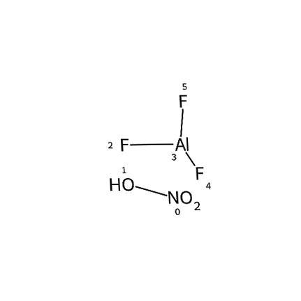 O=[N+]([O-])O.[F][Al]([F])[F]